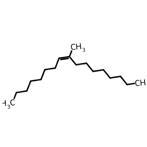 CCCCCCCC=C(C)CCCCCCCC